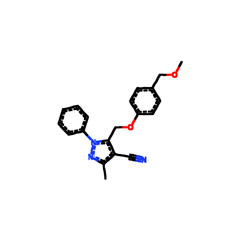 COCc1ccc(OCc2c(C#N)c(C)nn2-c2ccccc2)cc1